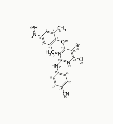 Cc1cc(N=P)cc(C)c1Oc1nc(Nc2ccc(C#N)cc2)nc(Cl)c1Br